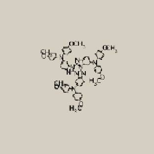 COc1ccc(N(c2ccc(OC)cc2)c2ccc3nc4n(c3c2)c2nc3ccc(N(c5ccc(OC)cc5)c5ccc(OC)cc5)cc3n2c2nc3ccc(N(c5ccc(OC)cc5)c5ccc(OC)cc5)cc3n42)cc1